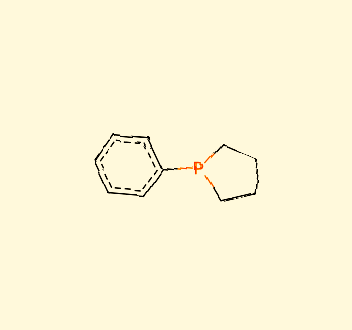 c1ccc(P2CCCC2)cc1